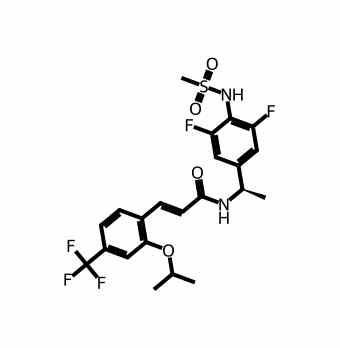 CC(C)Oc1cc(C(F)(F)F)ccc1C=CC(=O)N[C@H](C)c1cc(F)c(NS(C)(=O)=O)c(F)c1